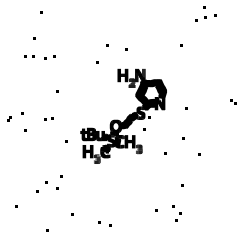 CC(C)(C)[Si](C)(C)OCCSc1cc(N)ccn1